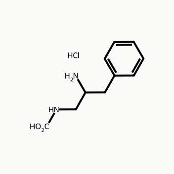 Cl.NC(CNC(=O)O)Cc1ccccc1